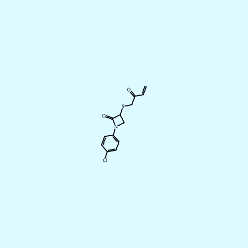 C=CC(=O)CSC1CN(c2ccc(Cl)cc2)C1=O